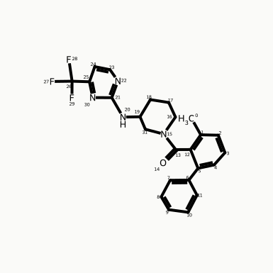 Cc1cccc(-c2ccccc2)c1C(=O)N1CCCC(Nc2nccc(C(F)(F)F)n2)C1